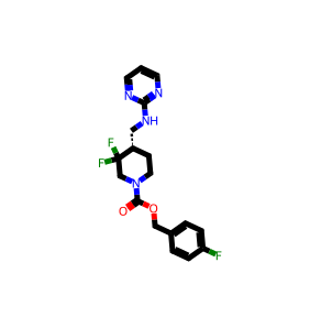 O=C(OCc1ccc(F)cc1)N1CC[C@@H](CNc2ncccn2)C(F)(F)C1